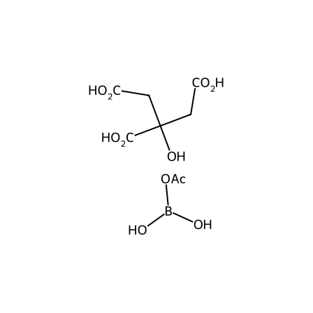 CC(=O)OB(O)O.O=C(O)CC(O)(CC(=O)O)C(=O)O